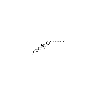 CCCCCCCCCCCCc1ccc(-c2cnc(-c3ccc(OCC(C)OCCCC)cc3)nc2)cc1